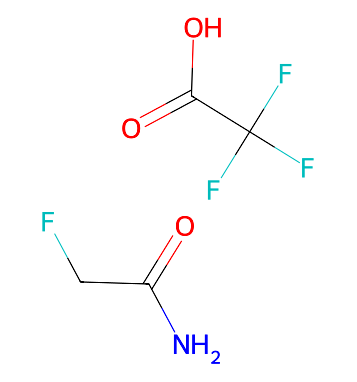 NC(=O)CF.O=C(O)C(F)(F)F